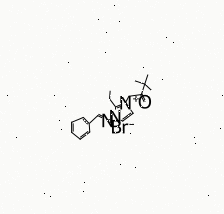 CCc1n(N=Cc2ccccc2)cc[n+]1CC(=O)C(C)(C)C.[Br-]